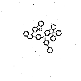 c1ccc(-c2ccc(N(c3ccc(-c4ccc5ccccc5c4-c4ccc5c(c4)oc4ccccc45)cc3)c3ccc4c(c3)C(c3ccccc3)(c3ccccc3)c3ccccc3-4)cc2)cc1